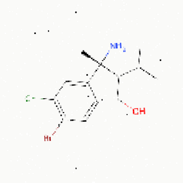 CC(C)C(CO)[C@@](C)(N)c1ccc(Br)c(Cl)c1